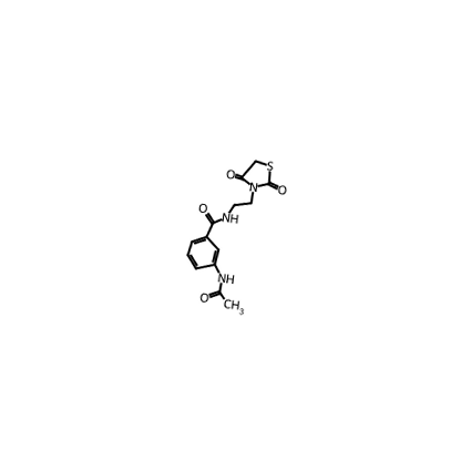 CC(=O)Nc1cccc(C(=O)NCCN2C(=O)CSC2=O)c1